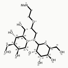 CNCCOCCOC1O[C@@H](CO)[C@@H](O)[C@H](O)[C@@H]1O[C@H]1O[C@H](CO)[C@@H](O)[C@H](OC=O)[C@@H]1O